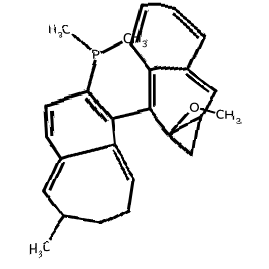 COC12CC1C=c1ccccc1=C2c1c(P(C)C)ccc2c1=CCCC(C)C=2